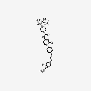 CC(C)(N)C(=O)N1CCN(C(=O)Nc2ccn(-c3ccc(CCCN4CC5C(N)[C@@H]5C4)cc3)c(=O)n2)CC1